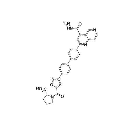 NNC(=O)c1cc(-c2ccc(-c3ccc(-c4cc(C(=O)N5CCC[C@@H]5C(=O)O)on4)cc3)cc2)nc2ccncc12